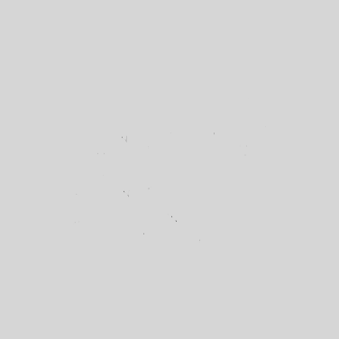 O=[N+]([O-])c1cc(C2OCCO2)cc([N+](=O)[O-])c1N1CCCCC1